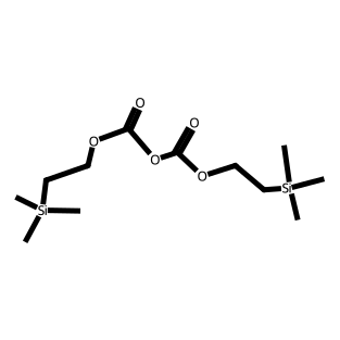 C[Si](C)(C)CCOC(=O)OC(=O)OCC[Si](C)(C)C